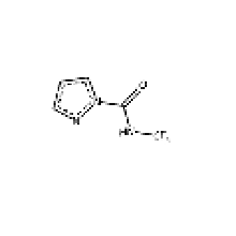 O=C(NC(F)(F)F)n1cccn1